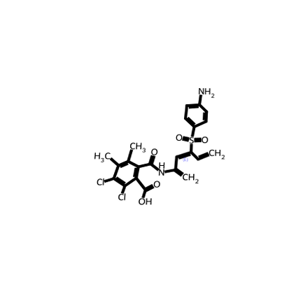 C=C/C(=C\C(=C)NC(=O)c1c(C)c(C)c(Cl)c(Cl)c1C(=O)O)S(=O)(=O)c1ccc(N)cc1